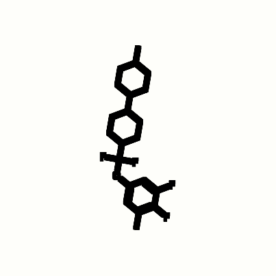 Cc1cc(OC(F)(F)C2CCC(C3CCC(C)CC3)CC2)cc(F)c1F